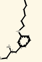 CCCCCCOc1cccc(C[C@H](O)CN)c1